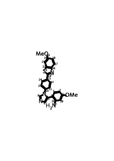 COc1ccc(-c2cncn2-c2ccc(-c3nc4ccc(OC)cc4s3)cc2)c(N)c1